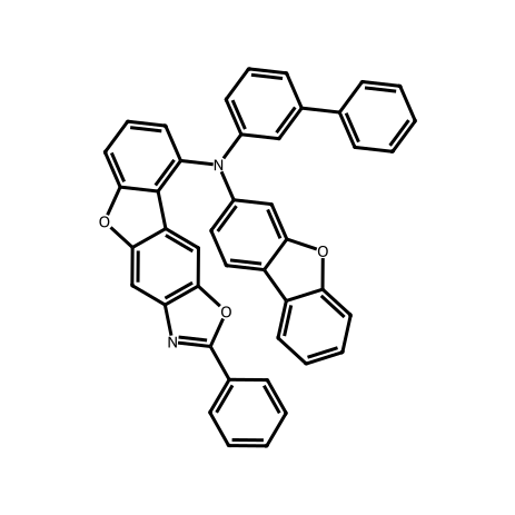 c1ccc(-c2cccc(N(c3ccc4c(c3)oc3ccccc34)c3cccc4oc5cc6nc(-c7ccccc7)oc6cc5c34)c2)cc1